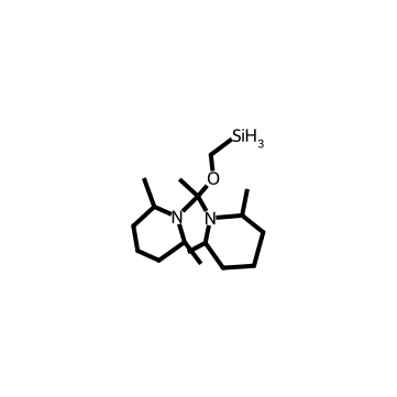 CC1CCCC(C)N1C(C)(OC[SiH3])N1C(C)CCCC1C